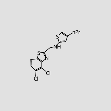 CCCc1csc(NCc2nc3c(Cl)c(Cl)ccc3s2)c1